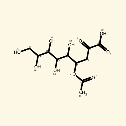 CC(=O)OC(CC(=O)C(=O)O)C(O)C(O)C(O)C(O)CO